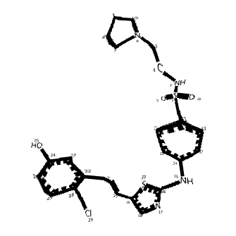 O=S(=O)(NCCN1CCCC1)c1ccc(Nc2ncc(C=Cc3cc(O)ccc3Cl)s2)cc1